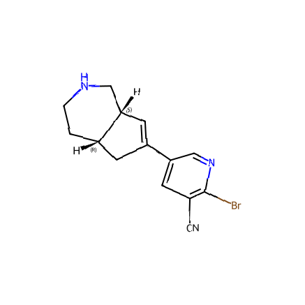 N#Cc1cc(C2=C[C@H]3CNCC[C@H]3C2)cnc1Br